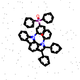 O=P(c1ccccc1)(c1ccccc1)c1cccc(-n2c3ccccc3c3ccc4c(-c5ccccc5)c(-c5ccccc5)n(-c5ccccc5)c4c32)c1